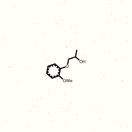 COc1ccccc1OCC(C)O